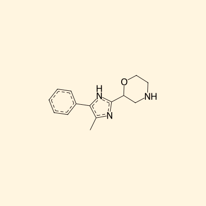 Cc1nc(C2CNCCO2)[nH]c1-c1ccccc1